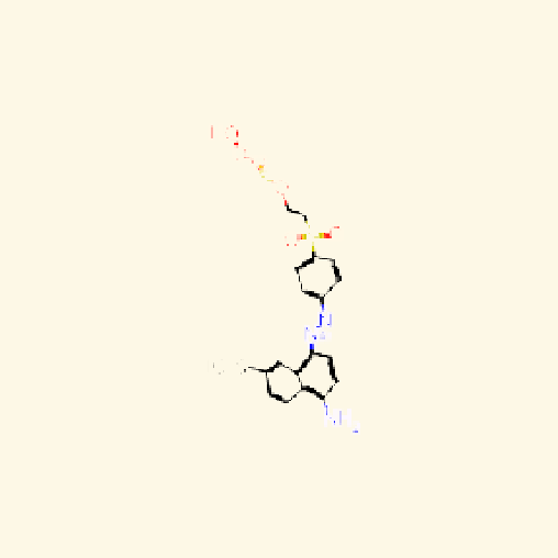 Nc1ccc(/N=N/c2ccc(S(=O)(=O)CCOSOOO)cc2)c2cc(S(=O)(=O)O)ccc12